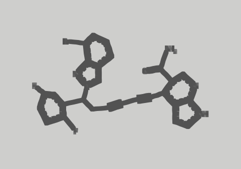 NC(=O)c1cnc2[nH]ccc2c1C#CC#CCC(c1cc(F)ccc1F)n1cc2cccc(Br)c2n1